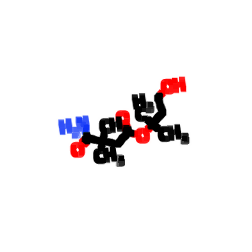 CC(C)(CCO)OC(=O)CC(C)(C)C(N)=O